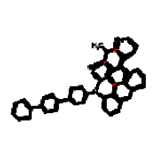 CC1C(C(C)(C)C)=CC(c2cccc3cccc(-c4ccccc4N(c4ccc(-c5ccc(-c6ccccc6)cc5)cc4)c4ccccc4-c4ccc(-c5ccccc5)cc4)c23)=CC1C(C)(C)C